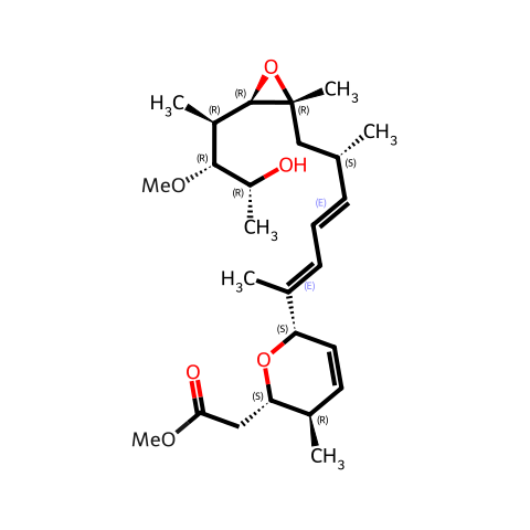 COC(=O)C[C@@H]1O[C@H](/C(C)=C/C=C/[C@@H](C)C[C@@]2(C)O[C@@H]2[C@H](C)[C@@H](OC)[C@@H](C)O)C=C[C@H]1C